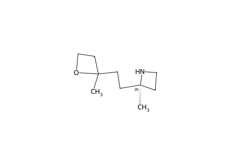 CC1(CC[C@]2(C)CCN2)CCO1